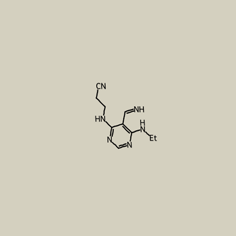 CCNc1ncnc(NCCC#N)c1C=N